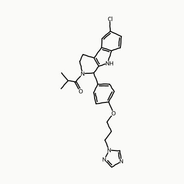 CC(C)C(=O)N1CCc2c([nH]c3ccc(Cl)cc23)C1c1ccc(OCCCn2cncn2)cc1